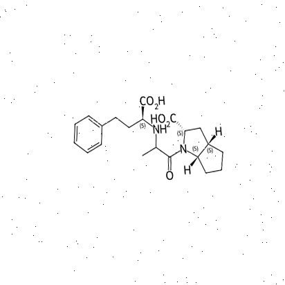 CC(N[C@@H](CCc1ccccc1)C(=O)O)C(=O)N1[C@H](C(=O)O)C[C@@H]2CCC[C@@H]21